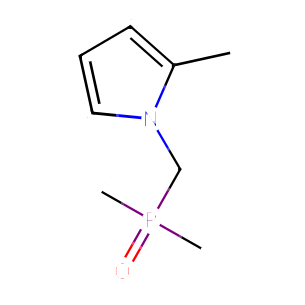 Cc1cccn1CP(C)(C)=O